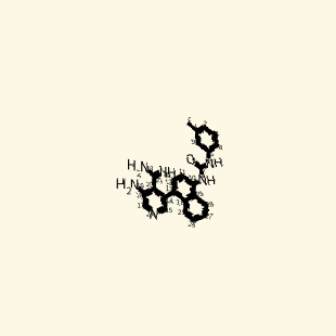 Cc1cccc(NC(=O)Nc2ccc(-c3cncc(N)c3C(=N)N)c3ccccc23)c1